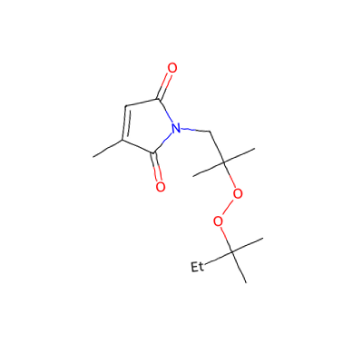 CCC(C)(C)OOC(C)(C)CN1C(=O)C=C(C)C1=O